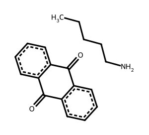 CCCCCN.O=C1c2ccccc2C(=O)c2ccccc21